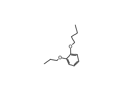 CCCCOc1ccccc1OCCC